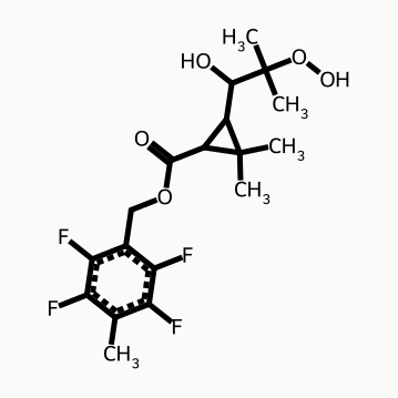 Cc1c(F)c(F)c(COC(=O)C2C(C(O)C(C)(C)OO)C2(C)C)c(F)c1F